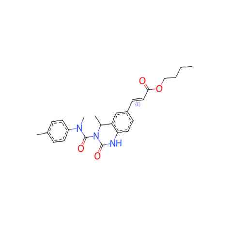 CCCCOC(=O)/C=C/c1ccc2c(c1)C(C)N(C(=O)N(C)c1ccc(C)cc1)C(=O)N2